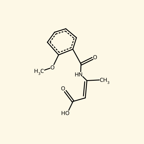 COc1ccccc1C(=O)N/C(C)=C\C(=O)O